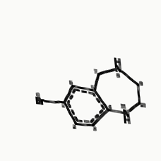 Brc1ccc2c(c1)CNCCN2